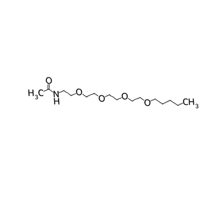 CCCCCOCCOCCOCCOCCNC(C)=O